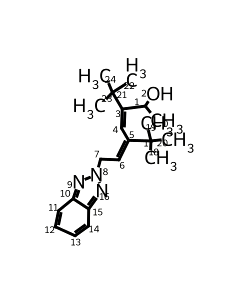 CC(O)/C(=C\C(=C/Cn1nc2ccccc2n1)C(C)(C)C)C(C)(C)C